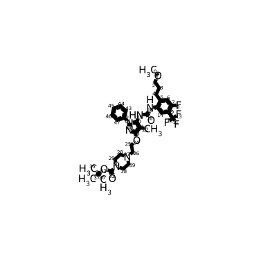 COCCCc1cc(F)c(C(F)(F)F)cc1NC(=O)Nc1c(C)c(OCCN2CCN(C(=O)OC(C)(C)C)CC2)nn1-c1ccccc1